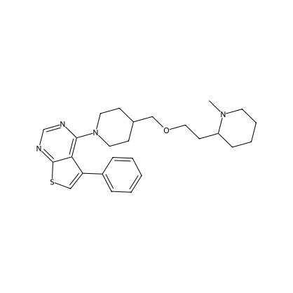 CN1CCCCC1CCOCC1CCN(c2ncnc3scc(-c4ccccc4)c23)CC1